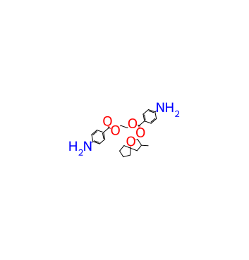 CC1COC2(CCCC2)C1.Nc1ccc(C(=O)OCCOC(=O)c2ccc(N)cc2)cc1